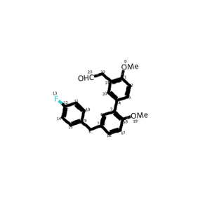 COc1ccc(-c2cc(Cc3ccc(F)cc3)ccc2OC)cc1CC=O